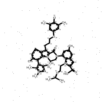 Cc1cc(N2C[C@@H](C)n3c(c(CCCOc4cc(C)c(Cl)c(C)c4)c4ccc(Cl)c(-c5c(C)nn(C)c5C)c43)C2=O)c2c(c1)cc(C(=O)O)n2CCOC(C)C